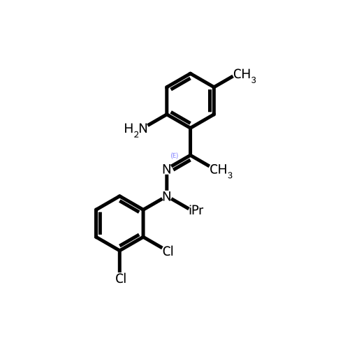 C/C(=N\N(c1cccc(Cl)c1Cl)C(C)C)c1cc(C)ccc1N